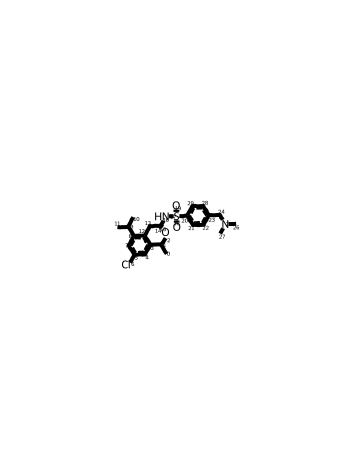 CC(C)c1cc(Cl)cc(C(C)C)c1CC(=O)NS(=O)(=O)c1ccc(CN(C)C)cc1